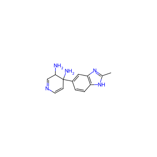 Cc1nc2cc(C3(N)C=CN=CC3N)ccc2[nH]1